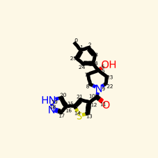 Cc1ccc(C2(O)CCN(C(=O)c3csc(-c4cn[nH]c4)c3)CC2)cc1